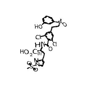 CP(=O)(CCc1cc(Cl)c(C(=O)N[C@@H](Cc2ccn(S(C)(=O)=O)n2)C(=O)O)c(Cl)c1)c1cccc(O)c1